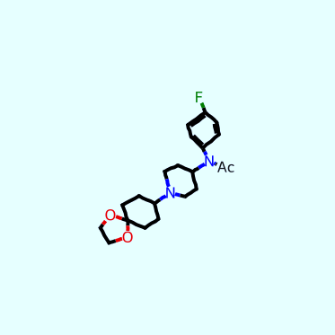 CC(=O)N(c1ccc(F)cc1)C1CCN(C2CCC3(CC2)OCCO3)CC1